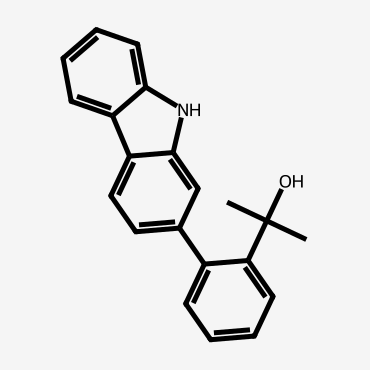 CC(C)(O)c1ccccc1-c1ccc2c(c1)[nH]c1ccccc12